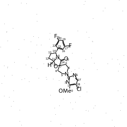 COc1nc(N2CCC3(CC2)O[C@@H]2CC[C@@H](c4cc(F)cc(F)c4)N2C3=O)ncc1Cl